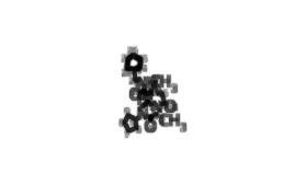 C[C@H]1C(=O)N(C2CCCC2)C[C@H]2N1C(=O)CN(C)N2C(=O)NCc1ccccc1